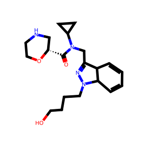 O=C([C@H]1CNCCO1)N(CC1=NN(CCCCO)C2C=CC=CC12)C1CC1